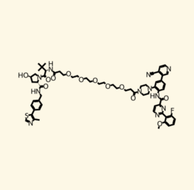 COc1cccc(F)c1-c1nccc(C(=O)Nc2ccc(-c3cnccc3C#N)cc2N2CCN(C(=O)CCOCCOCCOCCOCCOCCC(=O)N[C@H](C(=O)N3C[C@H](O)C[C@H]3C(=O)NCc3ccc(-c4scnc4C)cc3)C(C)(C)C)CC2)n1